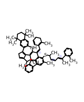 C=C1C2=C(/C(=C\C3=C(C)CCC=C3)c3c4c(cc(C)c3SC(C)/C=C\C=C(/C)c3ccccc3C)-c3ccccc3C4)Nc3cc4c(cc3C3=C2C(=CC3)C1C)C(C)(C)CCC4(C)C